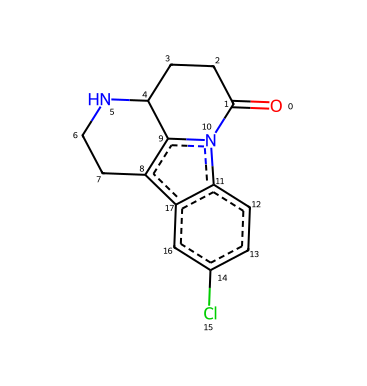 O=C1CCC2NCCc3c2n1c1ccc(Cl)cc31